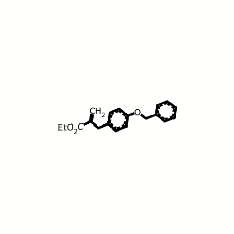 C=C(Cc1ccc(OCc2ccccc2)cc1)C(=O)OCC